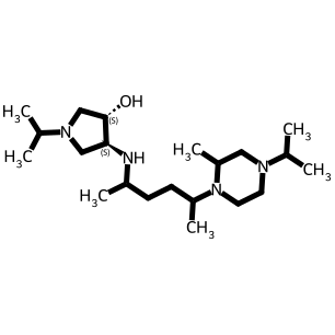 CC(CCC(C)N1CCN(C(C)C)CC1C)N[C@H]1CN(C(C)C)C[C@@H]1O